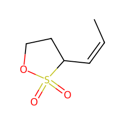 C/C=C\C1CCOS1(=O)=O